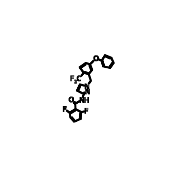 O=C(Nc1ccn(Cc2cc(Oc3ccccc3)ccc2C(F)(F)F)n1)c1c(F)cccc1F